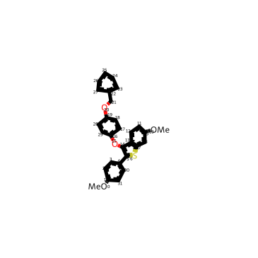 COc1ccc(-c2sc3cc(OC)ccc3c2Oc2ccc(OCc3ccccc3)cc2)cc1